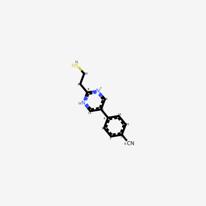 N#Cc1ccc(-c2cnc(CCS)nc2)cc1